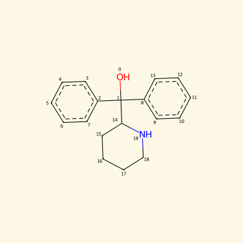 OC(c1ccccc1)(c1ccccc1)C1CCCCN1